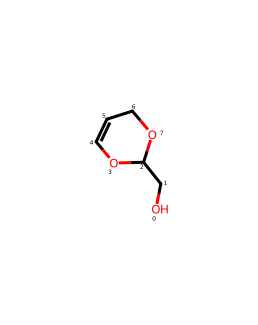 OCC1OC=CCO1